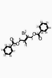 O=C(OC/C(Br)=C(\I)COC(=O)c1ccccc1)c1ccccc1